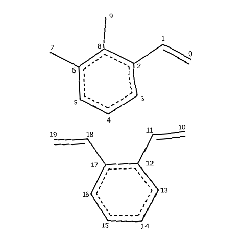 C=Cc1cccc(C)c1C.C=Cc1ccccc1C=C